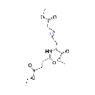 CCOC(=O)CCC(=O)NC(C/C=C/CC(=O)OC)C(=O)OC